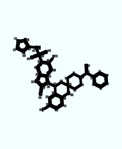 O=C(c1ccccc1)N1CCC2(CC1)CC(n1c(=O)oc3cc(S(=O)(=O)Nc4ncns4)c(F)cc31)c1cc(F)ccc1O2